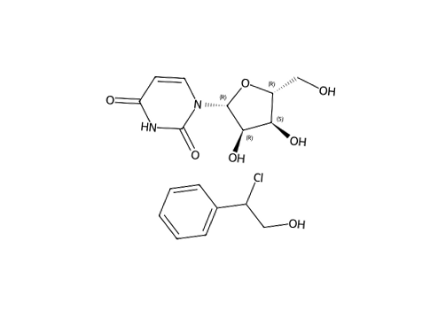 O=c1ccn([C@@H]2O[C@H](CO)[C@@H](O)[C@H]2O)c(=O)[nH]1.OCC(Cl)c1ccccc1